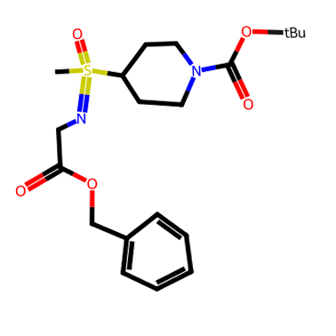 CC(C)(C)OC(=O)N1CCC(S(C)(=O)=NCC(=O)OCc2ccccc2)CC1